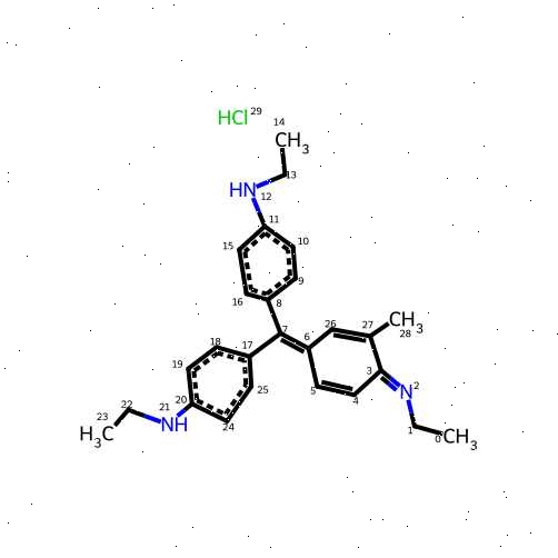 CCN=C1C=CC(=C(c2ccc(NCC)cc2)c2ccc(NCC)cc2)C=C1C.Cl